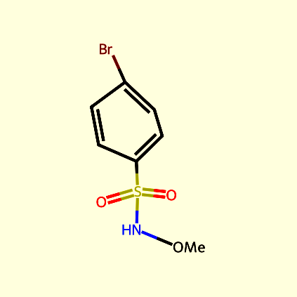 CONS(=O)(=O)c1ccc(Br)cc1